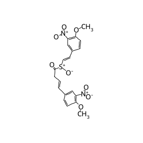 COc1ccc(C=CCC(=O)[S+]([O-])C=Cc2ccc(OC)c([N+](=O)[O-])c2)cc1[N+](=O)[O-]